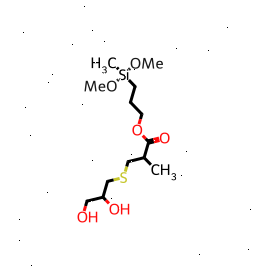 CO[Si](C)(CCCOC(=O)C(C)CSCC(O)CO)OC